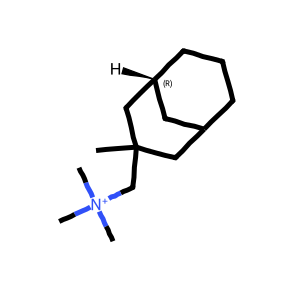 CC1(C[N+](C)(C)C)CC2CCC[C@H](C2)C1